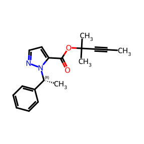 CC#CC(C)(C)OC(=O)c1ccnn1[C@H](C)c1ccccc1